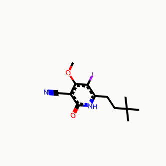 COc1c(I)c(CCC(C)(C)C)[nH]c(=O)c1C#N